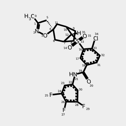 CC1=NO[C@]2(C1)CC1CCC(C2)[C@@H]1S(=O)(=O)c1cc(C(=O)Nc2cc(F)c(F)c(F)c2)ccc1Cl